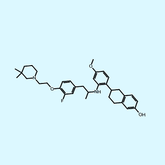 COc1ccc(C2CCc3cc(O)ccc3C2)c(NC(C)Cc2ccc(OCCN3CCCC(C)(C)C3)c(F)c2)c1